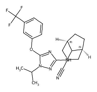 CC(C)n1nc(NC2[C@@H]3CC[C@H]2CN(C#N)C3)nc1Oc1cccc(C(F)(F)F)c1